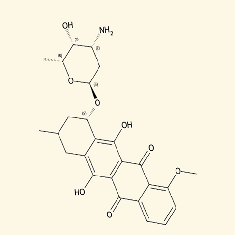 COc1cccc2c1C(=O)c1c(O)c3c(c(O)c1C2=O)CC(C)C[C@@H]3O[C@@H]1C[C@@H](N)[C@@H](O)[C@@H](C)O1